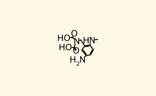 CNc1ccc(N)cc1CN(C(=O)O)C(=O)O